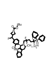 C[C@@H]1Cc2c([nH]c3ccccc23)[C@@H](c2ccc(C(F)C3CN(C(=O)OC(C)(C)C)C3)cc2C#N)N1CC(F)(F)CCC(C)(C)[Si](O)(c1ccccc1)c1ccccc1